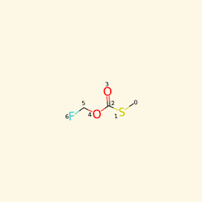 CSC(=O)OCF